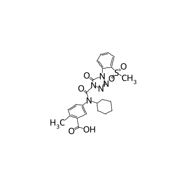 Cc1ccc(N(C(=O)n2nnn(-c3ccccc3S(C)(=O)=O)c2=O)C2CCCCC2)cc1C(=O)O